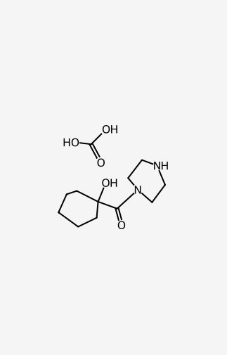 O=C(N1CCNCC1)C1(O)CCCCC1.O=C(O)O